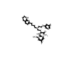 CC(=O)[C@H](CCN(CCCCc1ccc2c(n1)NCCC2)CCOc1cncc(F)c1)Nc1ncc(F)c[n+]1O